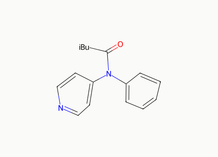 CCC(C)C(=O)N(c1ccccc1)c1ccncc1